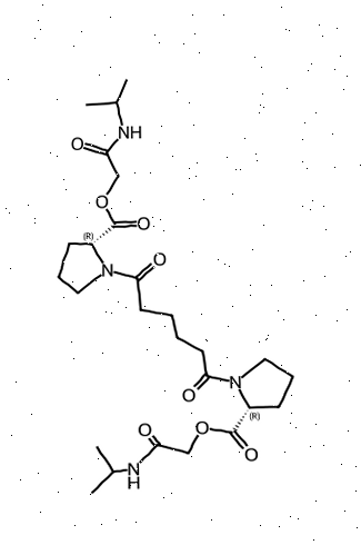 CC(C)NC(=O)COC(=O)[C@H]1CCCN1C(=O)CCCCC(=O)N1CCC[C@@H]1C(=O)OCC(=O)NC(C)C